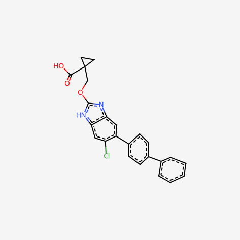 O=C(O)C1(COc2nc3cc(-c4ccc(-c5ccccc5)cc4)c(Cl)cc3[nH]2)CC1